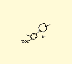 Cc1cc(N2CCCN(C)CC2)ccc1C(=O)[O-].[Li+]